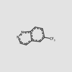 FC(F)(F)c1ccc2nn[c]cc2c1